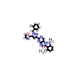 Cc1cccc(C)c1C(=O)Nc1cnc(-c2cc(-c3ncco3)n(Cc3ccccc3F)n2)nc1N